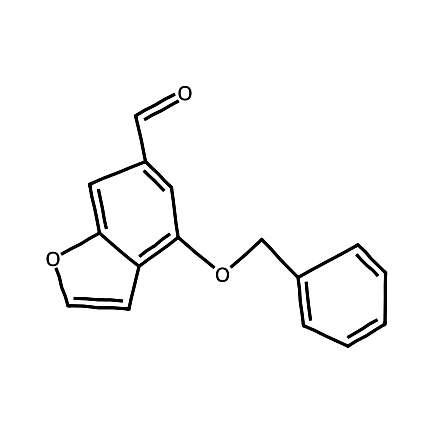 O=Cc1cc(OCc2ccccc2)c2ccoc2c1